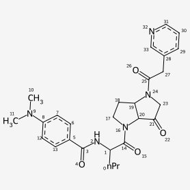 CCCC(NC(=O)c1ccc(N(C)C)cc1)C(=O)N1CCC2C1C(=O)CN2C(=O)Cc1cccnc1